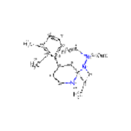 CCCCCN(CCCCC)N1CC(C)C12CC(c1cccc(C)c1C)CC[N]2